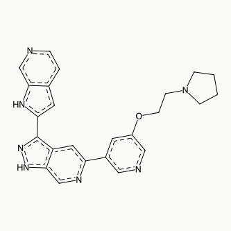 c1cc2cc(-c3n[nH]c4cnc(-c5cncc(OCCN6CCCC6)c5)cc34)[nH]c2cn1